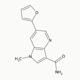 Cn1cc(C(N)=O)c2ncc(-c3ccco3)cc21